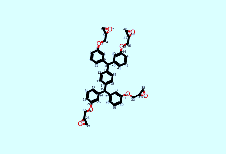 c1cc(OCC2CO2)cc(C(c2ccc(C(c3cccc(OCC4CO4)c3)c3cccc(OCC4CO4)c3)cc2)c2cccc(OCC3CO3)c2)c1